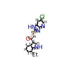 CCc1cccc2c(C(=O)CSc3nc4ncc(Cl)cc4[nH]3)c[nH]c12